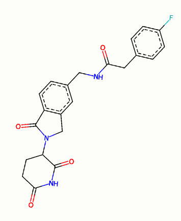 O=C(Cc1ccc(F)cc1)NCc1ccc2c(c1)CN(C1CCC(=O)NC1=O)C2=O